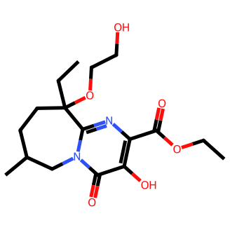 CCOC(=O)c1nc2n(c(=O)c1O)CC(C)CCC2(CC)OCCO